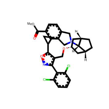 COC(=O)c1ccc2c(c1)CN([C@H]1[C@@H]3CC[C@H]1C[C@@H](OCc1c(-c4c(Cl)cccc4Cl)noc1C1CC1)C3)C2